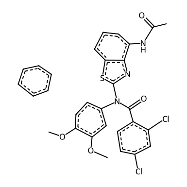 COc1ccc(N(C(=O)c2ccc(Cl)cc2Cl)c2nc3c(NC(C)=O)cccc3s2)cc1OC.c1ccccc1